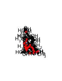 CN[C@H](CC(C)C)C(=O)N[C@H]1C(=O)N[C@@H](CC(N)=O)C(=O)N[C@H]2C(=O)N[C@H]3C(=O)N[C@H](C(=O)N[C@H](C(=O)OCOC(=O)NCCC(O)(C=O)P(=O)(O)O)c4cc(O)cc5c4-c4cc3ccc4C5(O)O)[C@H](O[C@H]3C[C@](C)(N)[C@@H](O)[C@H](C)O3)c3ccc(c(Cl)c3)Oc3cc2cc(c3O[C@@H]2O[C@H](CO)[C@@H](O)[C@H](O)[C@H]2O[C@H]2C[C@](C)(NCc3ccc(-c4ccc(Cl)cc4)cc3)[C@@H](O)[C@H](C)O2)Oc2ccc(cc2Cl)[C@H]1O